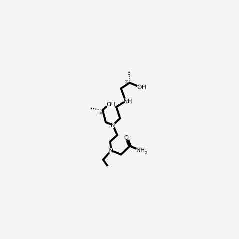 CCN(CCN(CCNC[C@H](C)O)C[C@H](C)O)CC(N)=O